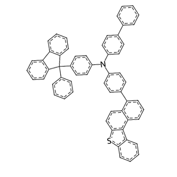 c1ccc(-c2ccc(N(c3ccc(-c4cccc5c4ccc4sc6ccccc6c45)cc3)c3ccc(C4(c5ccccc5)c5ccccc5-c5ccccc54)cc3)cc2)cc1